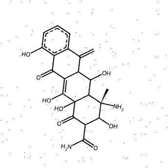 C=C1c2cccc(O)c2C(=O)C2=C(O)C3(O)C(=O)C(C(N)=O)C(O)[C@@](C)(N)C3C(O)C12